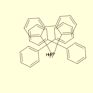 PC(c1ccccc1)(c1ccccc1)c1ccccc1-c1ccccc1C(P)(c1ccccc1)c1ccccc1